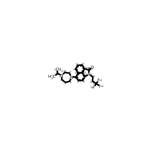 CC(C)N1CCCN(c2ccc3c4c(cccc24)C(=O)N3CCC(F)(F)F)CC1